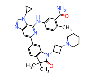 Cc1ccc(Nc2nc(-c3ccc4c(c3)N([C@H]3C[C@@H](N5CCCCC5)C3)C(=O)C4(C)C)cc3ncn(C4CC4)c23)cc1C(N)=O